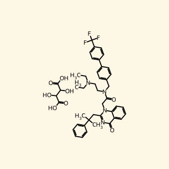 CCN(CC)CCN(Cc1ccc(-c2ccc(C(F)(F)F)cc2)cc1)C(=O)Cn1c(CC(C)(C)c2ccccc2)nc(=O)c2ccccc21.O=C(O)C(O)C(O)C(=O)O